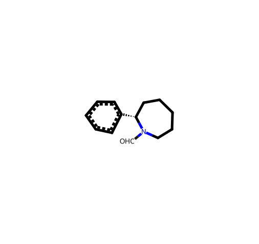 O=CN1CCCCC[C@H]1c1ccccc1